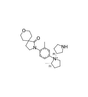 Cc1cc([N+]2([C@@H]3CCNC3)CCC[C@@H]2C)ccc1N1CCC2(CCOCC2)C1=O